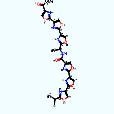 COC(=O)c1coc(-c2coc(-c3coc(C(NC(=O)c4coc(-c5coc(-c6coc(C(C)C(C)C)n6)n5)n4)C(C)C)n3)n2)n1